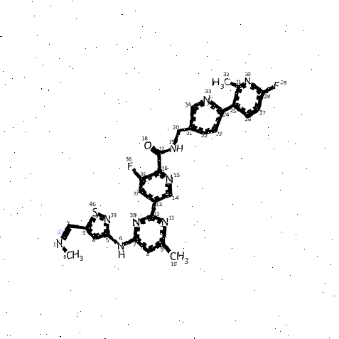 C/N=C\c1cc(Nc2cc(C)nc(-c3cnc(C(=O)NCc4ccc(-c5ccc(F)nc5C)nc4)c(F)c3)n2)ns1